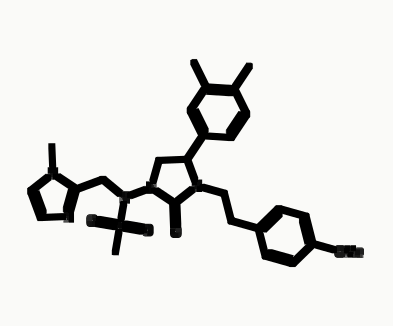 COc1ccc(CCN2C(=O)N(N(Cc3nccn3C)S(C)(=O)=O)CC2c2ccc(C)c(C)c2)cc1